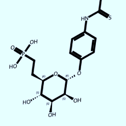 CNC(=S)Nc1ccc(O[C@H]2O[C@H](CCP(=O)(O)O)[C@@H](O)[C@H](O)[C@@H]2O)cc1